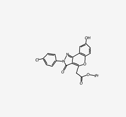 CC(C)OC(=O)Cc1oc2ccc(O)cc2c2nn(-c3ccc(Cl)cc3)c(=O)c1-2